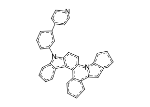 c1cc(-c2ccncc2)cc(-n2c3ccccc3c3c4c5ccccc5c5cc6ccccc6n5c4ccc32)c1